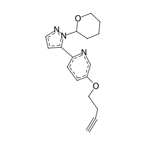 C#CCCOc1ccc(-c2ccnn2C2CCCCO2)nc1